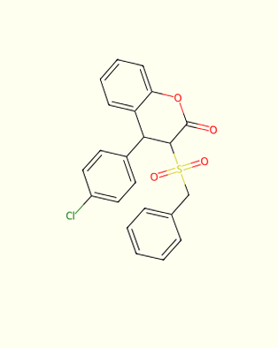 O=C1Oc2ccccc2C(c2ccc(Cl)cc2)C1S(=O)(=O)Cc1ccccc1